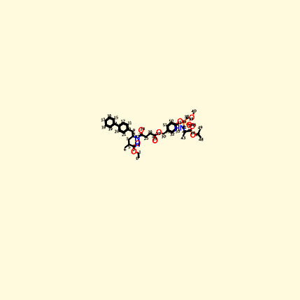 CCOC(=O)C(C)CC(Cc1ccc(-c2ccccc2)cc1)NC(=O)CCC(=O)OCc1ccc(OP(=O)(COC)NC(C)C(=O)OC(C)C)cc1